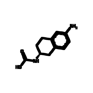 Nc1ccc2c(c1)CC[C@@H](NC(=O)O)C2